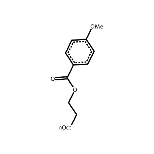 CCCCCCCCCCOC(=O)c1ccc(OC)cc1